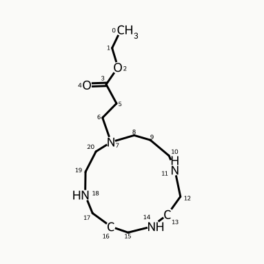 CCOC(=O)CCN1CCCNCCNCCCNCC1